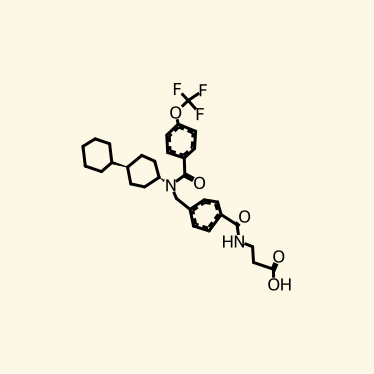 O=C(O)CCNC(=O)c1ccc(CN(C(=O)c2ccc(OC(F)(F)F)cc2)[C@H]2CC[C@H](C3CCCCC3)CC2)cc1